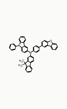 CC1(C)c2ccccc2-c2ccc(N(c3ccc(-c4ccc5oc6ccccc6c5c4)cc3)c3ccc4c(c3)c3ccccc3n4-c3ccccc3)cc21